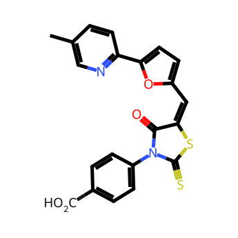 Cc1ccc(-c2ccc(C=C3SC(=S)N(c4ccc(C(=O)O)cc4)C3=O)o2)nc1